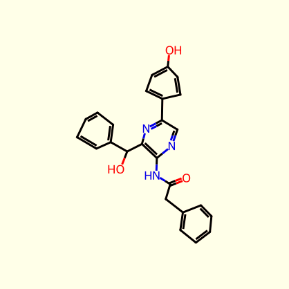 O=C(Cc1ccccc1)Nc1ncc(-c2ccc(O)cc2)nc1C(O)c1ccccc1